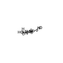 O=C(NO)c1cnc(N2CCN(S(=O)(=O)c3ccc(-c4cccc(CN5CCOCC5)c4)cc3)CC2)nc1